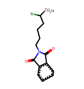 O=C(O)C(Br)CCCCN1C(=O)c2ccccc2C1=O